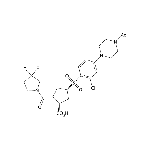 CC(=O)N1CCN(c2ccc(S(=O)(=O)[C@H]3C[C@@H](C(=O)O)[C@H](C(=O)N4CCC(F)(F)C4)C3)c(Cl)c2)CC1